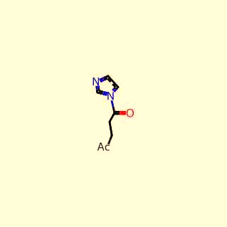 CC(=O)CCC(=O)n1ccnc1